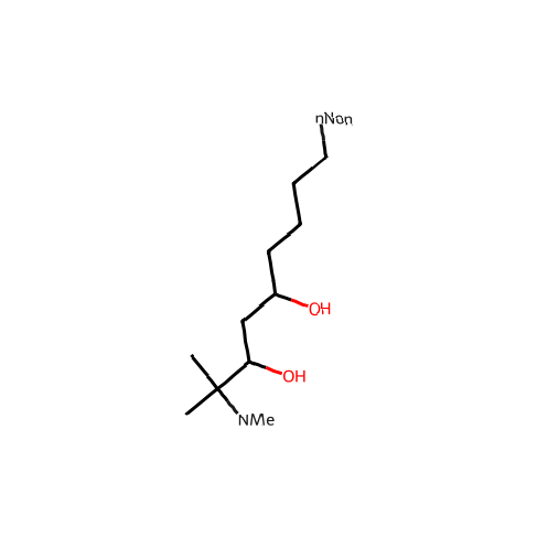 CCCCCCCCCCCCCC(O)CC(O)C(C)(C)NC